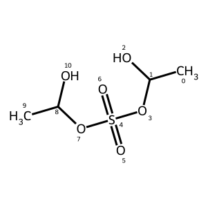 CC(O)OS(=O)(=O)OC(C)O